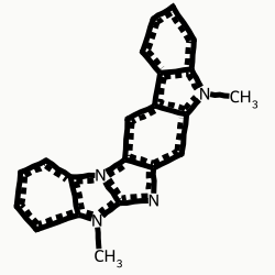 Cn1c2ccccc2c2cc3c(cc21)nc1n(C)c2ccccc2n31